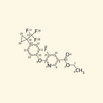 CCOC(=O)c1cnc(Oc2ccc(C3(C(F)(F)F)CC3)cc2)c(F)c1